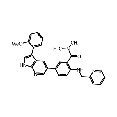 COc1ccccc1-c1c[nH]c2ncc(-c3ccc(NCc4ccccn4)c(C(=O)N(C)C)c3)cc12